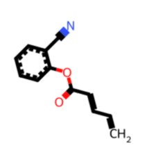 C=CC=CC(=O)Oc1ccccc1C#N